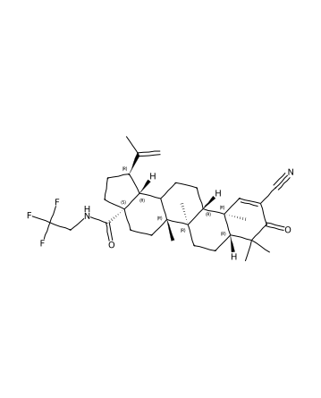 C=C(C)[C@@H]1CC[C@]2(C(=O)NCC(F)(F)F)CC[C@]3(C)C(CC[C@@H]4[C@@]5(C)C=C(C#N)C(=O)C(C)(C)[C@@H]5CC[C@]43C)[C@@H]12